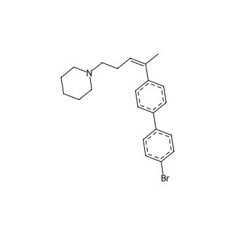 CC(=CCCN1CCCCC1)c1ccc(-c2ccc(Br)cc2)cc1